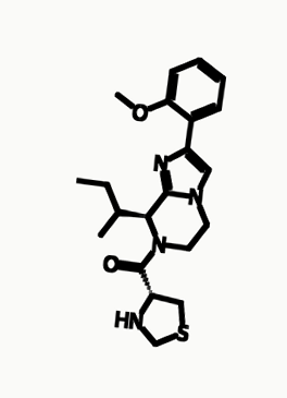 CCC(C)[C@H]1c2nc(-c3ccccc3OC)cn2CCN1C(=O)[C@@H]1CSCN1